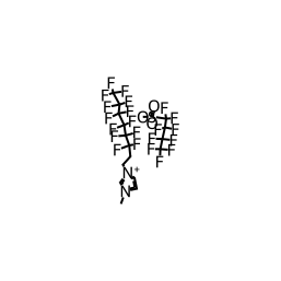 Cn1cc[n+](CCC(F)(F)C(F)(F)C(F)(F)C(F)(F)C(F)(F)C(F)(F)F)c1.O=S(=O)([O-])C(F)(F)C(F)(F)C(F)(F)C(F)(F)F